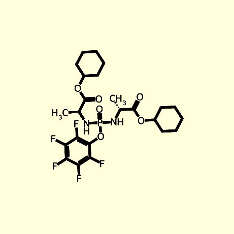 C[C@H](NP(=O)(N[C@H](C)C(=O)OC1CCCCC1)Oc1c(F)c(F)c(F)c(F)c1F)C(=O)OC1CCCCC1